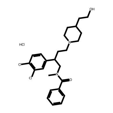 CN(CC(CCN1CCC(CCO)CC1)c1ccc(Cl)c(Cl)c1)C(=O)c1ccccc1.Cl